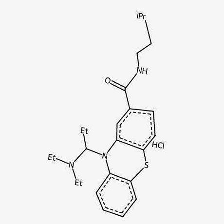 CCC(N(CC)CC)N1c2ccccc2Sc2ccc(C(=O)NCCC(C)C)cc21.Cl